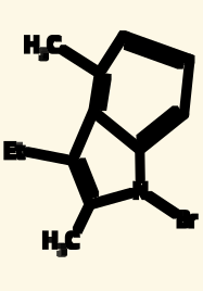 CCc1c(C)n(Br)c2cccc(C)c12